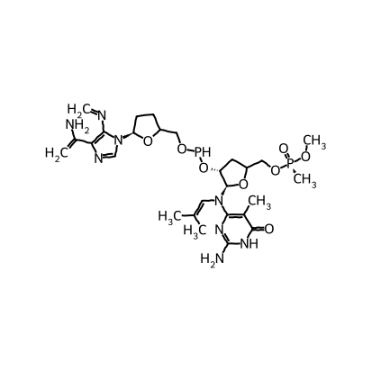 C=Nc1c(C(=C)N)ncn1[C@H]1CCC(COPO[C@@H]2CC(CO[P@](C)(=O)OC)O[C@H]2N(C=C(C)C)c2nc(N)[nH]c(=O)c2C)O1